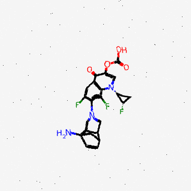 NC12C=CC(CC1)C1CN(c3c(F)cc4c(=O)c(OC(=O)O)cn([C@@H]5C[C@@H]5F)c4c3F)CC12